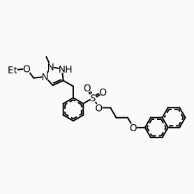 CCOCN1C=C(Cc2ccccc2S(=O)(=O)OCCCOc2ccc3ccccc3c2)NN1C